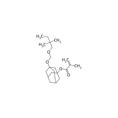 C=C(C)C(=O)OC12CC3CC(CC(OCOCC(C)(C)CC)(C3)C1)C2